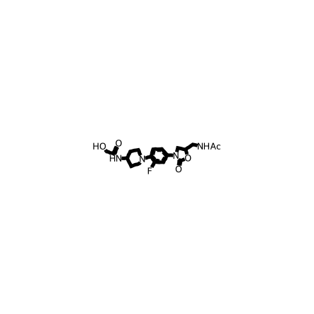 CC(=O)NCC1CN(c2ccc(N3CCC(NC(=O)CO)CC3)c(F)c2)C(=O)O1